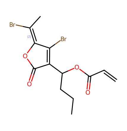 C=CC(=O)OC(CCC)C1=C(Br)/C(=C(\C)Br)OC1=O